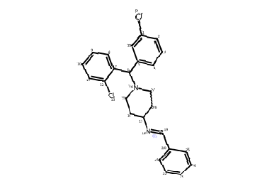 Clc1cccc(C(c2ccccc2Cl)N2CCC(/N=C/c3ccccc3)CC2)c1